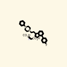 Fc1ccc(-c2cccc3c2CC=C3CCN2CCN(c3ccccc3)CC2)cc1.O=C(O)/C=C\C(=O)O